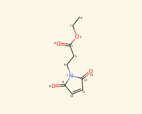 CCOC(=O)CCN1C(=O)C=CC1=O